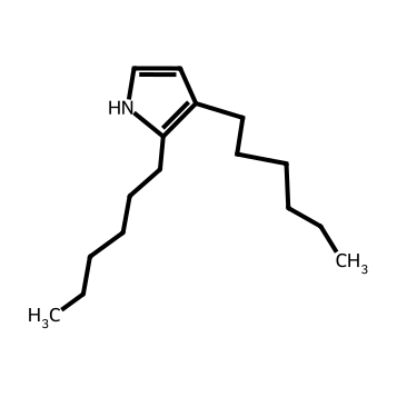 CCCCCCc1cc[nH]c1CCCCCC